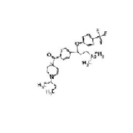 CCC(C)N1CCN(C(=O)c2ccc(C(CC[As](C)C)Oc3ccc(C(F)(F)F)cc3)cc2)CC1